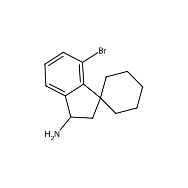 NC1CC2(CCCCC2)c2c(Br)cccc21